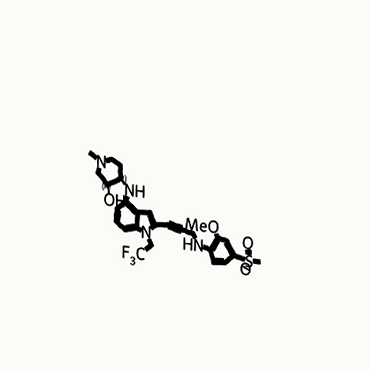 COc1cc(S(C)(=O)=O)ccc1NCC#Cc1cc2c(N[C@@H]3CCN(C)C[C@H]3O)cccc2n1CC(F)(F)F